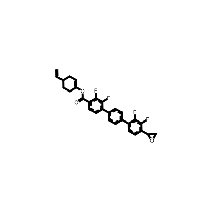 C=CC1CC=C(OC(=O)c2ccc(-c3ccc(-c4ccc(C5CO5)c(F)c4F)cc3)c(F)c2F)CC1